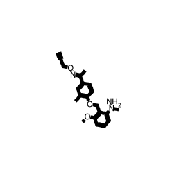 C#CCON=C(C)c1ccc(OCc2c(OC)cccc2N(C)N)c(C)c1